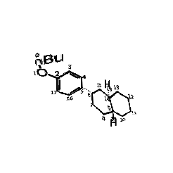 CCCCOc1ccc([C@H]2CC[C@H]3CCCC[C@@H]3C2)cc1